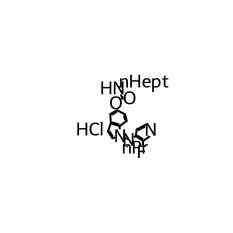 CCCCCCCNC(=O)Oc1ccc2c(ccn2N(CCC)c2ccncc2F)c1.Cl